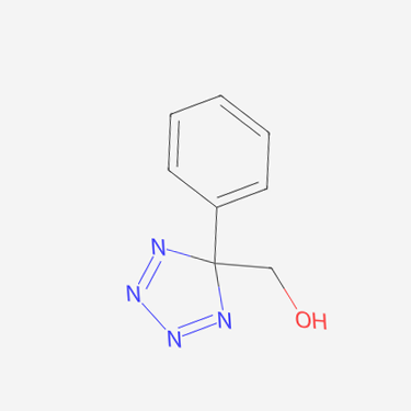 OCC1(c2ccccc2)N=NN=N1